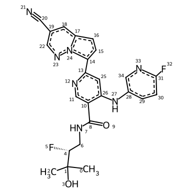 CC(C)(O)[C@H](F)CNC(=O)c1cnc(-c2ccc3cc(C#N)cnn23)cc1Nc1ccc(F)nc1